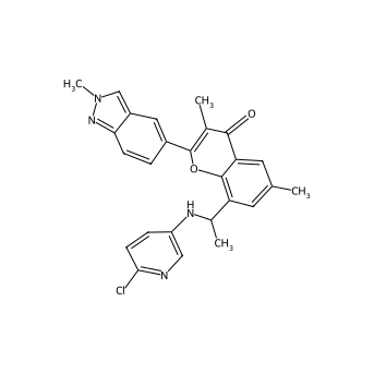 Cc1cc(C(C)Nc2ccc(Cl)nc2)c2oc(-c3ccc4nn(C)cc4c3)c(C)c(=O)c2c1